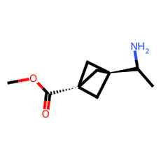 COC(=O)[C@]12C[C@@](C(C)N)(C1)C2